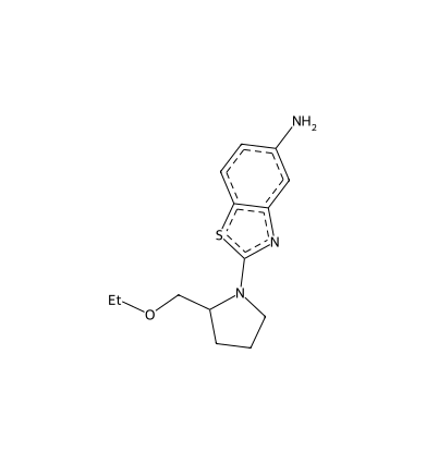 CCOCC1CCCN1c1nc2cc(N)ccc2s1